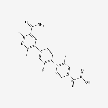 Cc1cc([C@H](C)C(=O)O)ccc1-c1ccc(-c2nc(C(N)=O)c(C)nc2C)cc1F